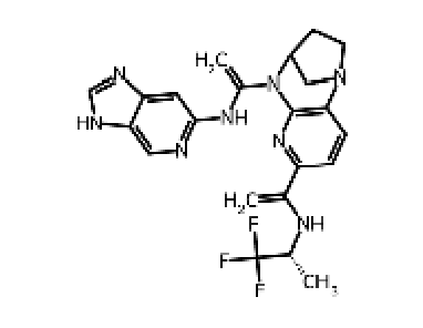 C=C(N[C@H](C)C(F)(F)F)c1ccc2c(n1)N(C(=C)Nc1cc3nc[nH]c3cn1)C1CCN2C1